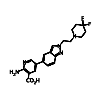 Nc1ncc(-c2ccc3nn(CCN4CCC(F)(F)CC4)cc3c2)cc1C(=O)O